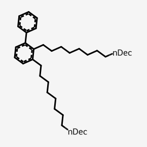 CCCCCCCCCCCCCCCCCCc1cccc(-c2ccccc2)c1CCCCCCCCCCCCCCCCCC